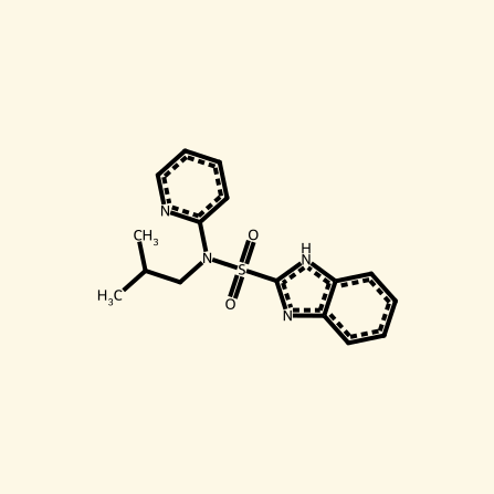 CC(C)CN(c1ccccn1)S(=O)(=O)c1nc2ccccc2[nH]1